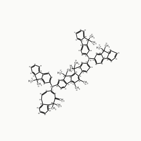 C=C1/C=C(N(c2ccc3c(c2)C(C)(C)c2ccccc2-3)c2ccc3c(c2)C(C)(C)c2c-3c(C)c(C)c3c2C(C)(C)c2cc(N(c4ccc5c(c4)C(C)(C)c4ccccc4-5)c4ccc5c(c4)C(C)(C)c4ccccc4-5)ccc2-3)\C=C/Cc2ccccc2C1(C)C